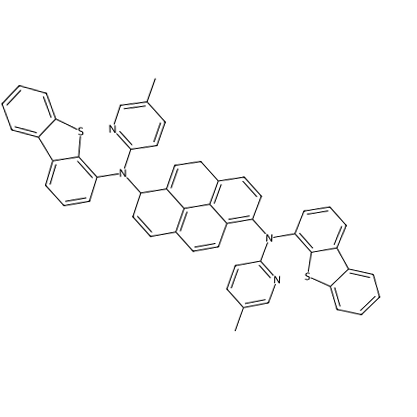 Cc1ccc(N(c2ccc3c4c5c(ccc24)C=CC(N(c2ccc(C)cn2)c2cccc4c2sc2ccccc24)C5=CC3)c2cccc3c2sc2ccccc23)nc1